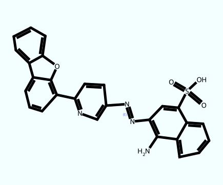 Nc1c(/N=N/c2ccc(-c3cccc4c3oc3ccccc34)nc2)cc(S(=O)(=O)O)c2ccccc12